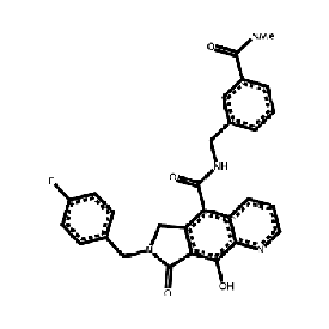 CNC(=O)c1cccc(CNC(=O)c2c3c(c(O)c4ncccc24)C(=O)N(Cc2ccc(F)cc2)C3)c1